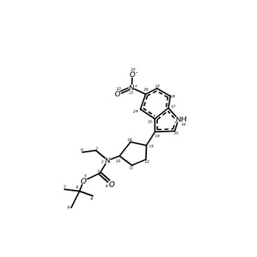 CCN(C(=O)OC(C)(C)C)C1CCC(c2c[nH]c3ccc([N+](=O)[O-])cc23)C1